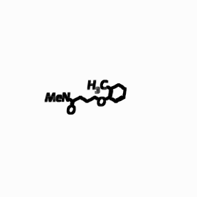 CNC(=O)CCCOC1=C(C)CCC=C1